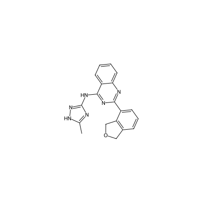 Cc1nc(Nc2nc(-c3cccc4c3COC4)nc3ccccc23)n[nH]1